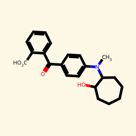 CN(c1ccc(C(=O)c2ccccc2C(=O)O)cc1)C1CCCCCC1O